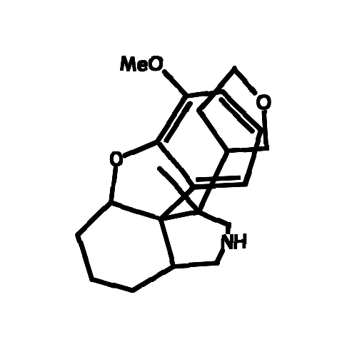 COc1cccc2c1OC1CCCC3CNCC(C)(C4CCOC4)C231